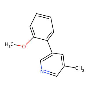 [CH2]c1cncc(-c2ccccc2OC)c1